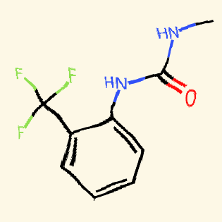 CNC(=O)Nc1cc[c]cc1C(F)(F)F